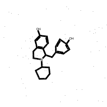 Oc1ccc(CC2c3ccc(O)cc3CCN2C2CCCCC2)cc1